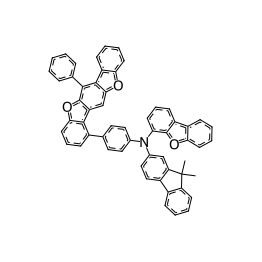 CC1(C)c2ccccc2-c2ccc(N(c3ccc(-c4cccc5oc6c(-c7ccccc7)c7c(cc6c45)oc4ccccc47)cc3)c3cccc4c3oc3ccccc34)cc21